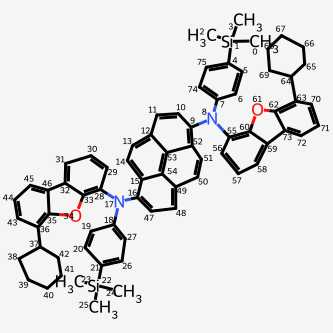 C[Si](C)(C)c1ccc(N(c2ccc3ccc4c(N(c5ccc([Si](C)(C)C)cc5)c5cccc6c5oc5c(C7CCCCC7)cccc56)ccc5ccc2c3c54)c2cccc3c2oc2c(C4CCCCC4)cccc23)cc1